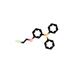 [18F]CCOc1cccc(P(c2ccccc2)c2ccccc2)c1